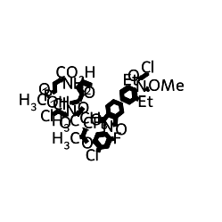 C#CC(C)Oc1cc(N2C(=O)C3=C(CCCC3)C2=O)c(F)cc1Cl.CC1(C)OC(c2ccco2)CN1C(=O)C(Cl)Cl.CCc1cccc(CC)c1N(COC)C(=O)CCl.CP(=O)(O)CCC(N)C(=O)O